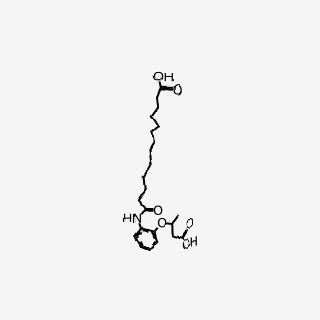 CC(CC(=O)O)Oc1ccccc1NC(=O)CCCCCCCCCCCC(=O)O